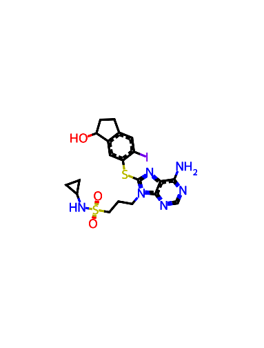 Nc1ncnc2c1nc(Sc1cc3c(cc1I)CCC3O)n2CCCS(=O)(=O)NC1CC1